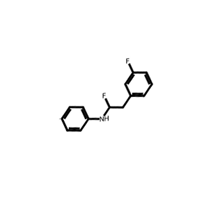 Fc1cccc(CC(F)Nc2cc[c]cc2)c1